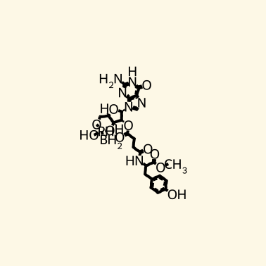 B[PH]1(O)OC[C@H]2O[C@@H](n3cnc4c(=O)[nH]c(N)nc43)[C@@H](OC(=O)CCC(=O)NC(Cc3ccc(O)cc3)C(=O)OC)[C@H]2O1